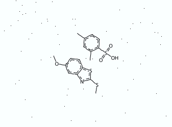 COc1ccc2sc(SC)nc2c1.Cc1ccc(S(=O)(=O)O)c(C)c1